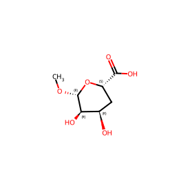 CO[C@@H]1O[C@H](C(=O)O)C[C@@H](O)[C@H]1O